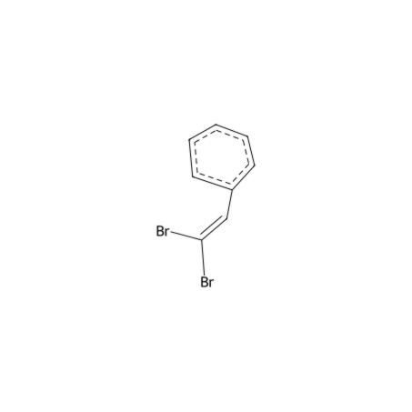 BrC(Br)=Cc1ccccc1